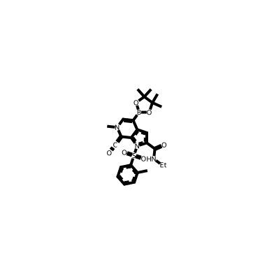 CCNC(=O)c1cc2c(n1S(=O)(=O)c1ccccc1C)C(=C=O)N(C)C=C2B1OC(C)(C)C(C)(C)O1